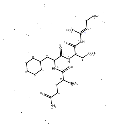 CCCCCCCCCCC/C=C(/NC(=O)C(CC(=O)O)NC(=O)C(CC1CCCCC1)NC(=O)C(CCC(N)=O)NC(C)=O)C(=O)O